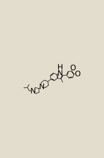 COc1ccc(-c2[nH]c3ccc(C4CCN(C5CCN(CC(C)C)C5)CC4)cc3c2C)cc1OC